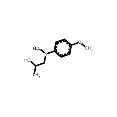 COc1ccc(N(C)CC(C)O)cc1